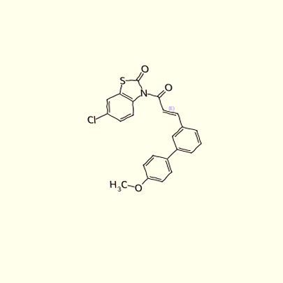 COc1ccc(-c2cccc(/C=C/C(=O)n3c(=O)sc4cc(Cl)ccc43)c2)cc1